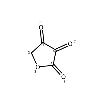 O=C1COC(=O)C1=O